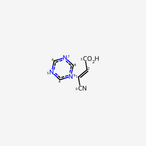 N#CC=CC(=O)O.c1ncncn1